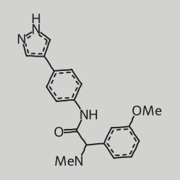 CNC(C(=O)Nc1ccc(-c2cn[nH]c2)cc1)c1cccc(OC)c1